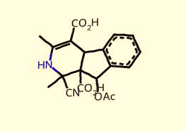 CC(=O)OC1c2ccccc2C2C(C(=O)O)=C(C)NC(C)(C#N)C12C(=O)O